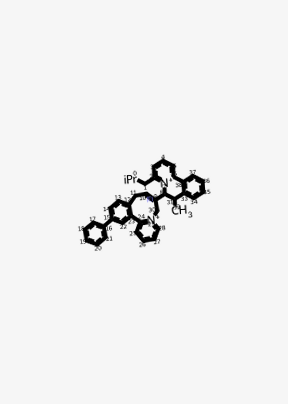 CC(C)Cc1cccc2[n+]1C(/C1=C/Cc3ccc(-c4ccccc4)cc3-c3cccc[n+]3C1)C(C)c1ccccc1-2